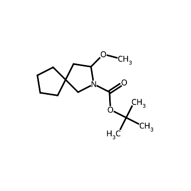 COC1CC2(CCCC2)CN1C(=O)OC(C)(C)C